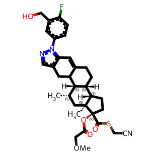 COCC(=O)O[C@]1(C(=O)SCC#N)CC[C@H]2[C@H]3CCC4=Cc5c(cnn5-c5ccc(F)c(CO)c5)CC4[C@H]3[C@@H](C)C[C@@]21C